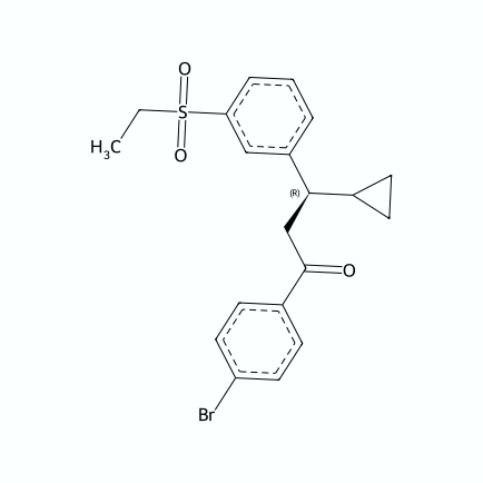 CCS(=O)(=O)c1cccc([C@H](CC(=O)c2ccc(Br)cc2)C2CC2)c1